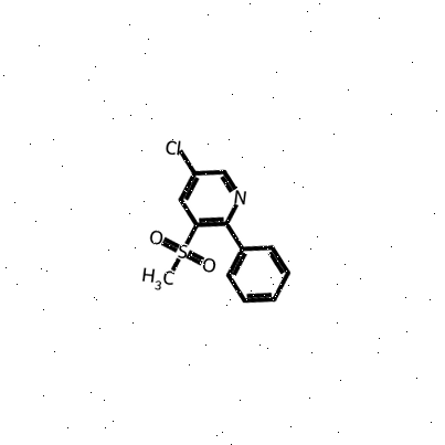 CS(=O)(=O)c1cc(Cl)cnc1-c1ccccc1